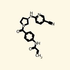 C=CC(=O)Nc1ccc(C(=O)N2CC[C@@H](Nc3ccc(C#N)cn3)C2)cc1